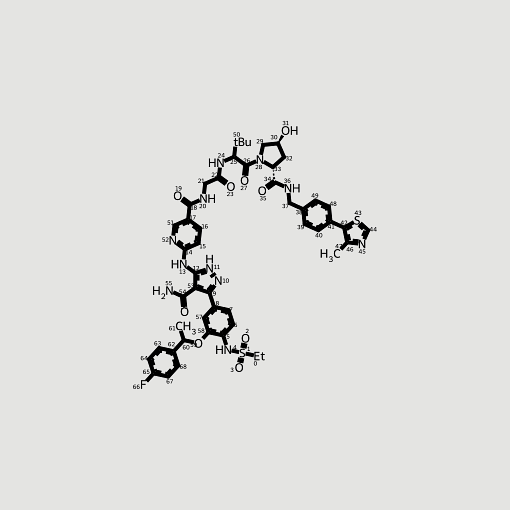 CCS(=O)(=O)Nc1ccc(-c2n[nH]c(Nc3ccc(C(=O)NCC(=O)NC(C(=O)N4C[C@@H](O)C[C@@H]4C(=O)NCc4ccc(-c5scnc5C)cc4)C(C)(C)C)cn3)c2C(N)=O)cc1OC(C)c1ccc(F)cc1